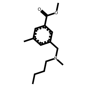 CCCCN(C)Cc1cc(C)cc(C(=O)OC)c1